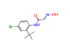 CC(C)(C)c1cc(Br)ccc1NC(=O)C=NO